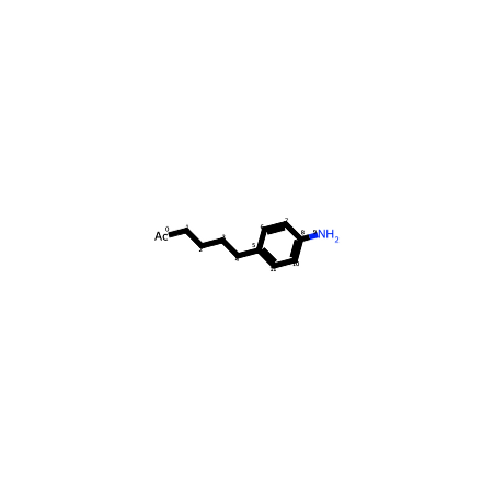 CC(=O)CCCCc1ccc(N)cc1